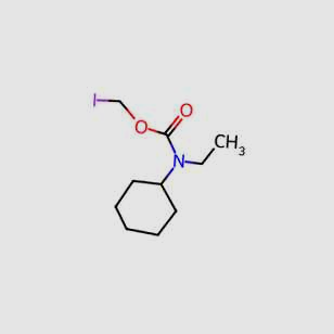 CCN(C(=O)OCI)C1CCCCC1